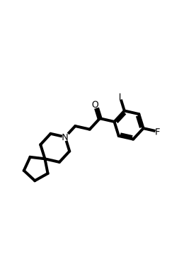 O=C(CCN1CCC2(CCCC2)CC1)c1ccc(F)cc1I